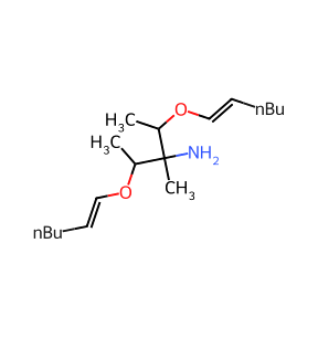 CCCCC=COC(C)C(C)(N)C(C)OC=CCCCC